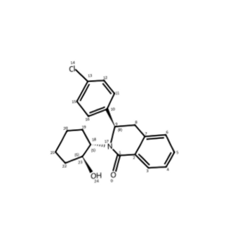 O=C1c2ccccc2C[C@H](c2ccc(Cl)cc2)N1[C@H]1CCCC[C@@H]1O